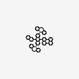 c1ccc2c(c1)CCc1ccccc1N2c1ccc2c(-c3ccc4c5cccc6cccc(c7cccc3c74)c65)c3cc(N4c5ccccc5CCc5ccccc54)ccc3c(-c3ccc4ccccc4c3)c2c1